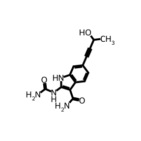 CC(O)C#Cc1ccc2c(C(N)=O)c(NC(N)=O)[nH]c2c1